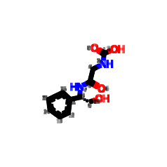 O=C(O)NCC(=O)N[C@H](CO)c1ccccc1